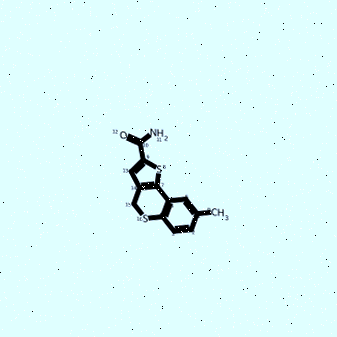 Cc1ccc2c(c1)-c1sc(C(N)=O)cc1CS2